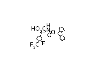 O=C(NC(CCc1ccc(C(F)(F)F)c(F)c1)C(=O)O)OCC1c2ccccc2-c2ccccc21